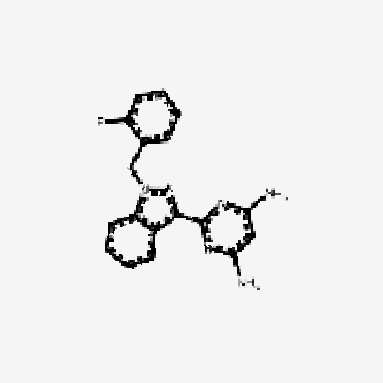 Nc1cc(N)nc(-c2nn(Cc3ccccc3F)c3ccccc23)n1